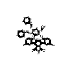 O=C1NC(=O)c2c1c1c3cc(F)ccc3[nH]c1c1c2c2cc(F)ccc2n1[C@@H]1O[C@H](CO)C[C@H](OCc2ccccc2)[C@H]1OCc1ccccc1